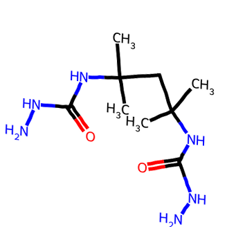 CC(C)(CC(C)(C)NC(=O)NN)NC(=O)NN